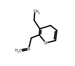 C=NCC1=C(CC)CC=CO1